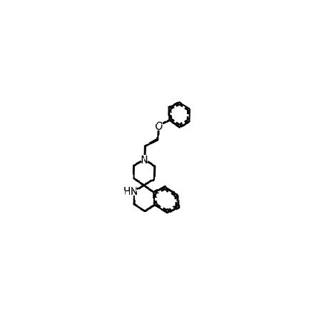 c1ccc(OCCN2CCC3(CC2)NCCc2ccccc23)cc1